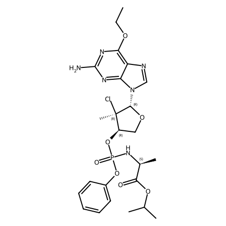 CCOc1nc(N)nc2c1ncn2[C@@H]1OC[C@@H](OP(=O)(N[C@@H](C)C(=O)OC(C)C)Oc2ccccc2)[C@@]1(C)Cl